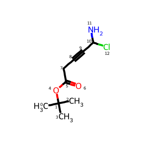 CC(C)(C)OC(=O)CC#CC(N)Cl